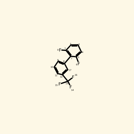 Fc1cccc(F)c1-c1cc[c]c(C(F)(F)F)c1